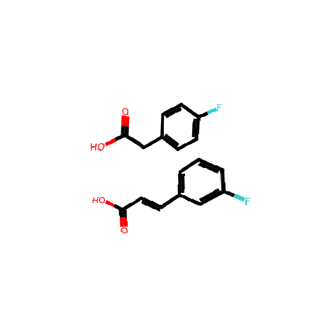 O=C(O)C=Cc1cccc(F)c1.O=C(O)Cc1ccc(F)cc1